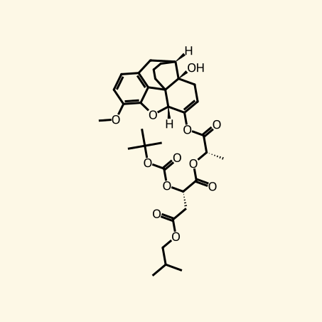 COc1ccc2c3c1O[C@H]1C(OC(=O)[C@H](C)OC(=O)[C@H](CC(=O)OCC(C)C)OC(=O)OC(C)(C)C)=CC[C@@]4(O)[C@H](CCCC314)C2